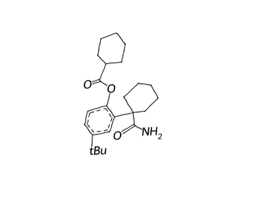 CC(C)(C)c1ccc(OC(=O)C2CCCCC2)c(C2(C(N)=O)CCCCC2)c1